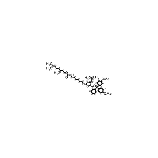 COc1ccc(C(OC[C@H]2O[C@@H](OCCCCCCNC(=O)OC/C=C(C)/C=C/C=C(C)C)CC2OP(C)C)(c2ccccc2)c2ccc(OC)cc2)cc1